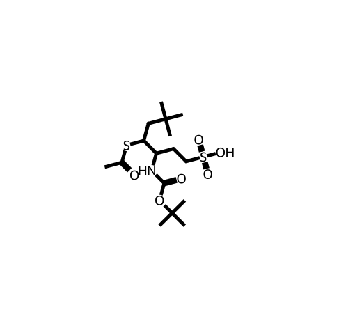 CC(=O)SC(CC(C)(C)C)C(CCS(=O)(=O)O)NC(=O)OC(C)(C)C